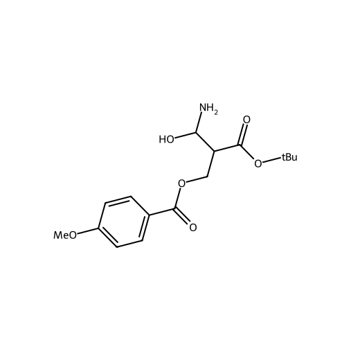 COc1ccc(C(=O)OCC(C(=O)OC(C)(C)C)C(N)O)cc1